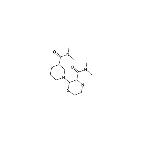 CN(C)C(=O)C1CN(C2SCC[N]C2C(=O)N(C)C)CCS1